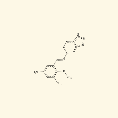 COc1c(C)cc(N)cc1/C=N/c1ccc2[nH]ncc2c1